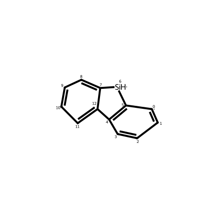 [c]1cccc2c1[SiH]c1ccccc1-2